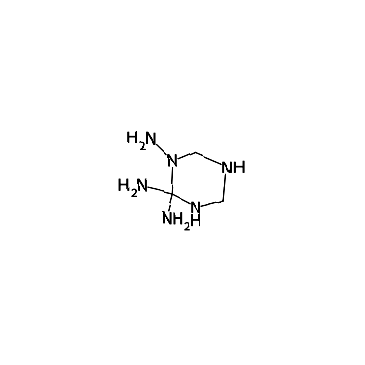 NN1CNCNC1(N)N